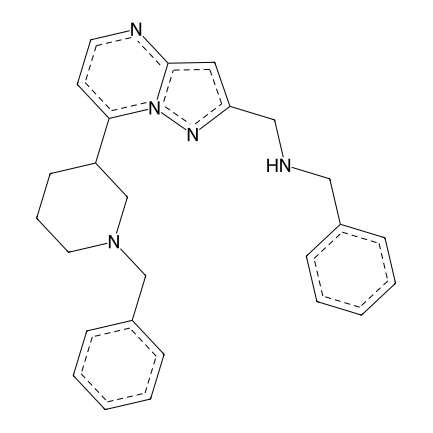 c1ccc(CNCc2cc3nccc(C4CCCN(Cc5ccccc5)C4)n3n2)cc1